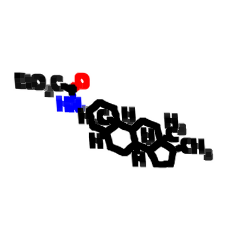 CCOC(=O)C(=O)N[C@@H]1CC[C@@]2(C)[C@H](CC[C@@H]3[C@@H]2CC[C@]2(C)[C@@H](C)CC[C@@H]32)C1